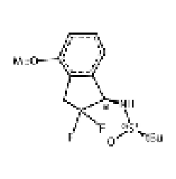 COc1cccc2c1CC(F)(F)[C@@H]2N[S@+]([O-])C(C)(C)C